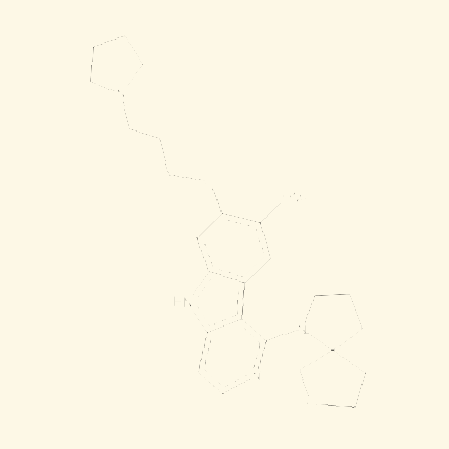 COc1cc2c(cc1OCCCN1CCCC1)[nH]c1ccnc(N3CCCC34CCOC4)c12